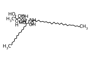 CCCCCCCCCCCCCCCCCCCCCCCCCC(=O)N[C@@H](COC(O)C(O)C(O)C(O)C(C)CO)[C@H](O)[C@H](O)CCCCCCCCCCCCCC